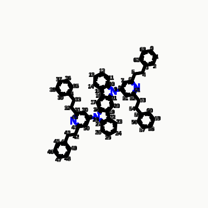 c1ccc(CCc2cc(-n3c4ccccc4c4cc5c(cc43)c3ccccc3n5-c3cc(CCc4ccccc4)nc(CCc4ccccc4)c3)cc(CCc3ccccc3)n2)cc1